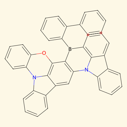 c1ccc(-c2ccccc2B2c3c(cc4c5ccccc5n5c4c3Oc3ccccc3-5)-n3c4ccccc4c4cccc2c43)cc1